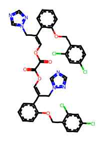 O=C(OC=C(Cn1cncn1)c1ccccc1OCc1ccc(Cl)cc1Cl)C(=O)OC=C(Cn1cncn1)c1ccccc1OCc1ccc(Cl)cc1Cl